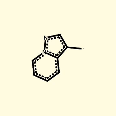 [CH2]c1cnn2ccccc12